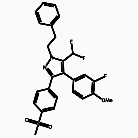 COc1ccc(-c2c(-c3ccc(S(C)(=O)=O)cc3)nn(CCc3ccccc3)c2C(F)F)cc1F